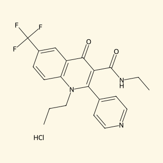 CCCn1c(-c2ccncc2)c(C(=O)NCC)c(=O)c2cc(C(F)(F)F)ccc21.Cl